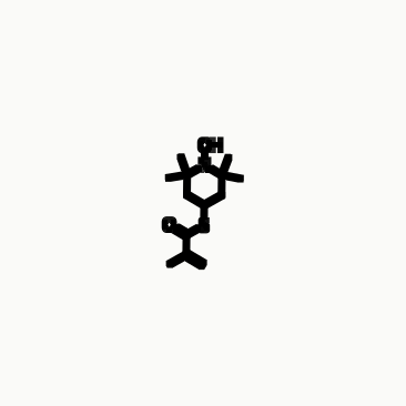 C=C(C)C(=O)SC1CC(C)(C)N(O)C(C)(C)C1